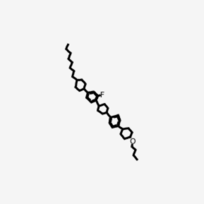 CCCCCCCCC1CCC(c2ccc(C3CCC(c4ccc(C5CCC(OCCCC)CC5)cc4)CC3)c(F)c2)CC1